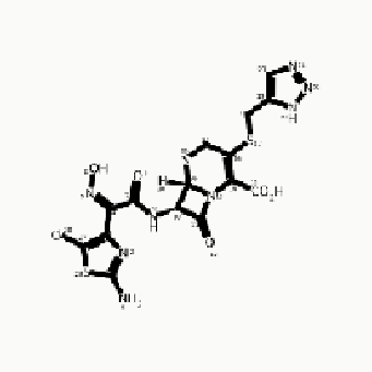 Nc1nc(/C(=N/O)C(=O)N[C@@H]2C(=O)N3C(C(=O)O)=C(SCc4cnn[nH]4)CS[C@@H]23)c(Cl)s1